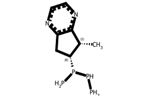 C[C@H]1c2nccnc2C[C@H]1P(P)PP